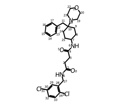 O=C(CCC(=O)NC1CCC(Cc2ccccc2)(N2CCOCC2)CC1)NCc1cc(Cl)ccc1Cl